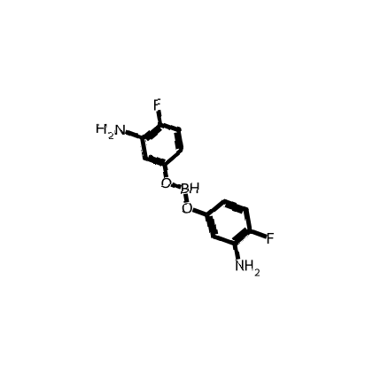 Nc1cc(OBOc2ccc(F)c(N)c2)ccc1F